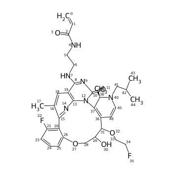 C=CC(=O)NCCNc1nc(=O)n2c3nc(c(C)cc13)-c1c(F)cccc1OCC(O)C(OCCF)C1=C2[C@@H](C)N(CC(C)C)C=C1